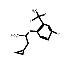 CC(F)(F)c1cc(Br)ccc1O[C@@H](CC1CC1)C(=O)O